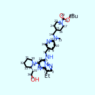 CCc1cnn2c(NCc3ccc(N(C)CC4CCN(C(=O)OC(C)(C)C)CC4)nc3)cc(N3CCCC[C@H]3CCO)nc12